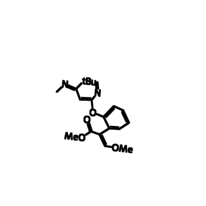 C=N/C(=C\C(=N/C)C(C)(C)C)Oc1ccccc1/C(=C\OC)C(=O)OC